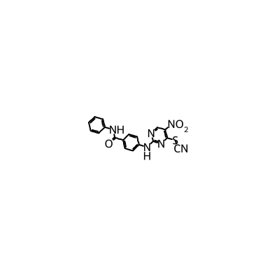 N#CSc1nc(Nc2ccc(C(=O)Nc3ccccc3)cc2)ncc1[N+](=O)[O-]